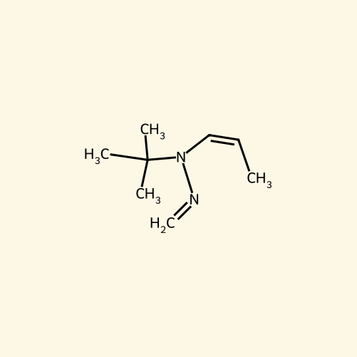 C=NN(/C=C\C)C(C)(C)C